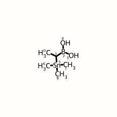 C[CH](B(O)O)[Sn]([CH3])([CH3])[CH3]